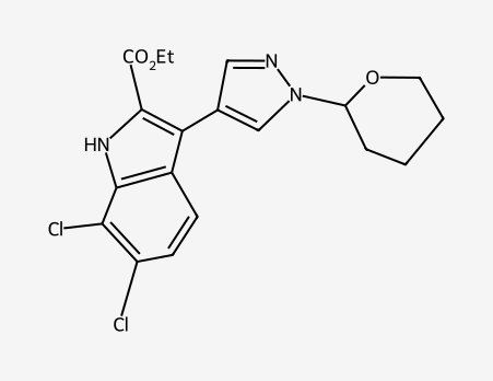 CCOC(=O)c1[nH]c2c(Cl)c(Cl)ccc2c1-c1cnn(C2CCCCO2)c1